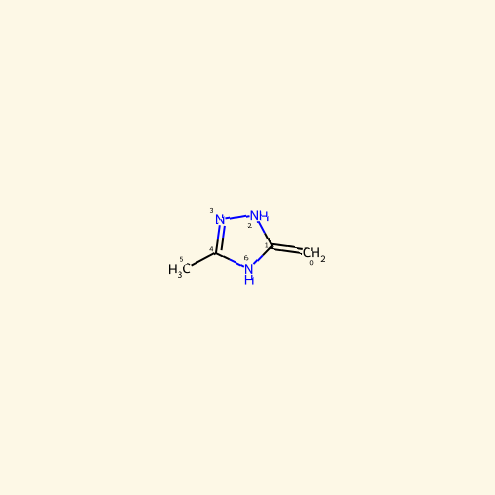 C=C1NN=C(C)N1